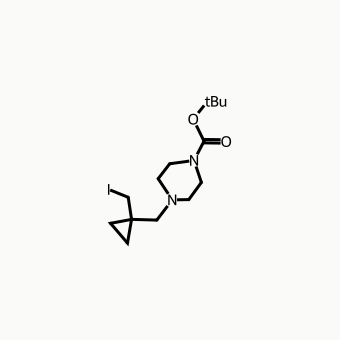 CC(C)(C)OC(=O)N1CCN(CC2(CI)CC2)CC1